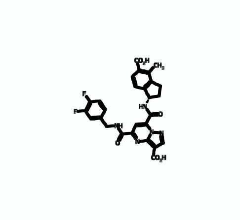 Cc1c(C(=O)O)ccc2c1CC[C@@H]2NC(=O)c1cc(C(=O)NCc2ccc(F)c(F)c2)nc2c(C(=O)O)cnn12